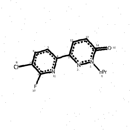 CCCn1nc(-c2ccc(Cl)c(F)n2)ccc1=O